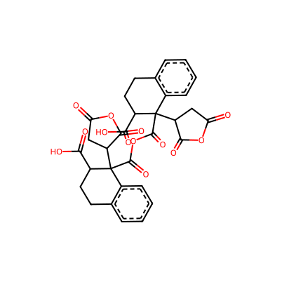 O=C1CC(C2(C(=O)OC(=O)C3(C4CC(=O)OC4=O)c4ccccc4CCC3C(=O)O)c3ccccc3CCC2C(=O)O)C(=O)O1